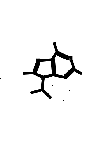 Cc1cc2c(nc(C)n2C(C)C)c(C)n1